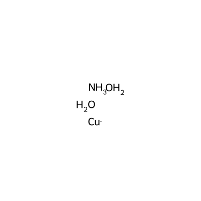 N.O.O.[Cu]